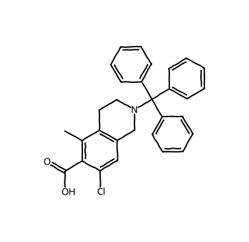 Cc1c2c(cc(Cl)c1C(=O)O)CN(C(c1ccccc1)(c1ccccc1)c1ccccc1)CC2